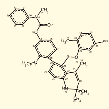 COc1cc(OC(=O)N(C)c2ccccc2)ccc1-c1ccc2c(c1COc1cc(F)ccc1C)C(C)=CC(C)(C)N2